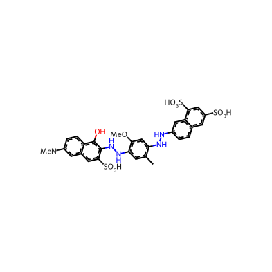 CNc1ccc2c(O)c(NNc3cc(C)c(NNc4ccc5cc(S(=O)(=O)O)cc(S(=O)(=O)O)c5c4)cc3OC)c(S(=O)(=O)O)cc2c1